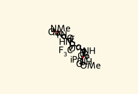 CNC(=O)N1CCN(c2ccc(C(=O)Nc3cc(OC(F)(F)F)c(-c4ccc(-c5c[nH]c([C@@H]6C[C@H](C)CN6C(=O)[C@@H](NC(=O)OC)C(C)C)n5)cc4)cc3F)cn2)[C@H](C)C1